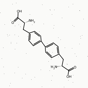 N[C@H](Cc1ccc(-c2ccc(C[C@@H](N)C(=O)O)cc2)cc1)C(=O)O